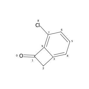 O=C1Cc2cccc(Cl)c21